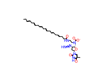 CCC=CCC=CCC=CCC=CCC=CCC=CCCC(=O)NCCN(C[C@@H]1O[C@H](n2cc(C)c(=O)[nH]c2=O)C[C@@H]1N=[N+]=N)C(=O)[O-]